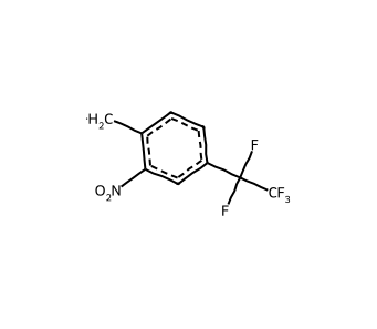 [CH2]c1ccc(C(F)(F)C(F)(F)F)cc1[N+](=O)[O-]